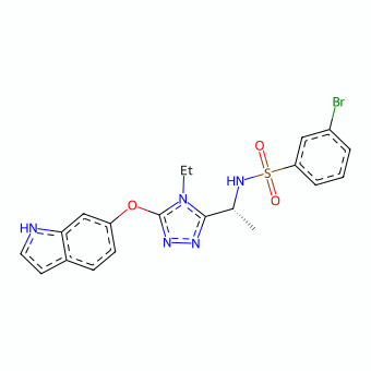 CCn1c(Oc2ccc3cc[nH]c3c2)nnc1[C@@H](C)NS(=O)(=O)c1cccc(Br)c1